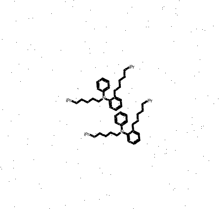 CC(C)CCCCCc1ccccc1N(CCCCCC(C)C)c1ccccc1.CC(C)CCCCCc1ccccc1N(CCCCCC(C)C)c1ccccc1